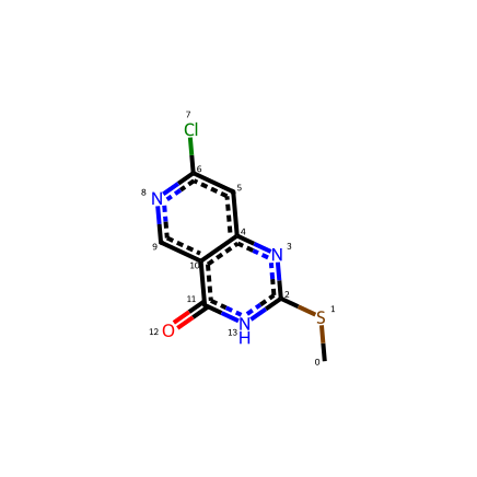 CSc1nc2cc(Cl)ncc2c(=O)[nH]1